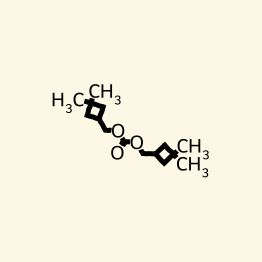 CC1(C)CC(COC(=O)OCC2CC(C)(C)C2)C1